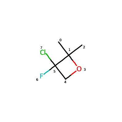 CC1(C)OCC1(F)Cl